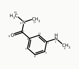 CNc1cccc(C(=O)N(C)C)c1